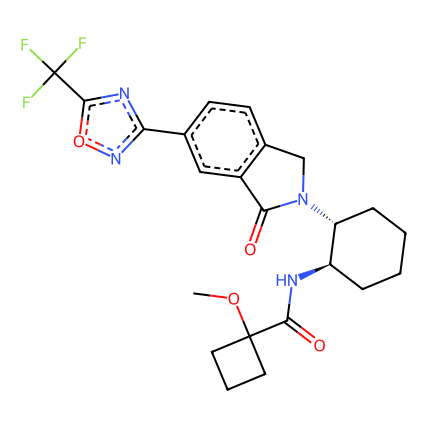 COC1(C(=O)N[C@@H]2CCCC[C@H]2N2Cc3ccc(-c4noc(C(F)(F)F)n4)cc3C2=O)CCC1